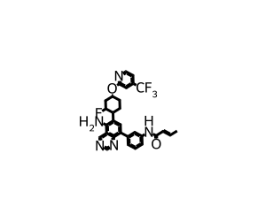 C/C=C/C(=O)Nc1cccc(-c2cc(C3CC[C@@H](Oc4cc(C(F)(F)F)ccn4)CC3F)c(N)c3cncnc23)c1